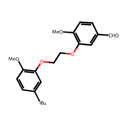 CCC(C)c1ccc(OC)c(OCCOc2cc(C=O)ccc2OC)c1